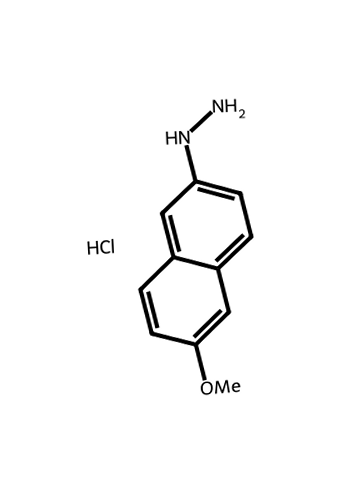 COc1ccc2cc(NN)ccc2c1.Cl